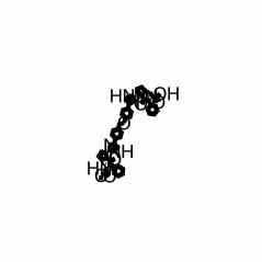 COC(=O)N[C@@H](C(=O)N1CCC[C@H]1c1nc(-c2ccc(COc3ccc(-c4c[nH]c([C@@H]5CCCN5C(=O)[C@@H](c5ccccc5)N(C)C(=O)O)n4)cc3)cc2)c[nH]1)c1ccccc1